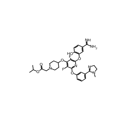 CC(C)OC(=O)CN1CCC(Oc2c(F)c(Oc3cccc(C4=NCCN4C)c3)nc(Oc3cc(C(=N)N)ccc3O)c2F)CC1